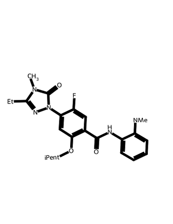 CCCC(C)Oc1cc(-n2nc(CC)n(C)c2=O)c(F)cc1C(=O)Nc1ccccc1NC